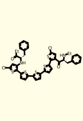 CCN[C@@H](Cc1ccccc1)C(=O)c1cc(Cl)sc1-c1ccc(-c2ccc(-c3ccc(-c4sc(Cl)cc4N[C@@H](Cc4ccccc4)C(=O)CC)s3)s2)s1